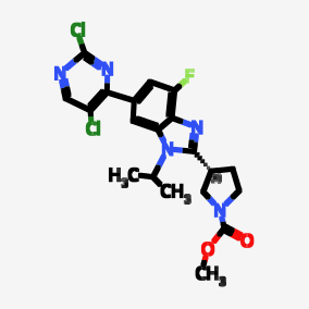 COC(=O)N1CC[C@@H](c2nc3c(F)cc(-c4nc(Cl)ncc4Cl)cc3n2C(C)C)C1